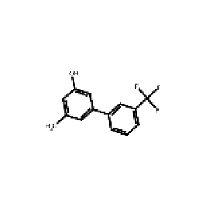 Cc1cc(O)cc(-c2cccc(C(F)(F)F)c2)c1